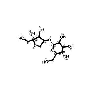 OCC1O[C@H](OC2CO[C@@](O)(CO)C2O)C(O)C(O)[C@@H]1O